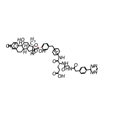 C[C@]12C=CC(=O)C=C1CC[C@@H]1[C@@H]2[C@@H](O)C[C@@]2(C)[C@H]1C[C@H]1O[C@@H](c3ccc(CC45CCC(NC(=O)[C@H](CCC(=O)O)NC(=O)CNC(=O)Cc6ccc(-c7nncnn7)cc6)(CC4)CC5)cc3)O[C@]12C(=O)CO